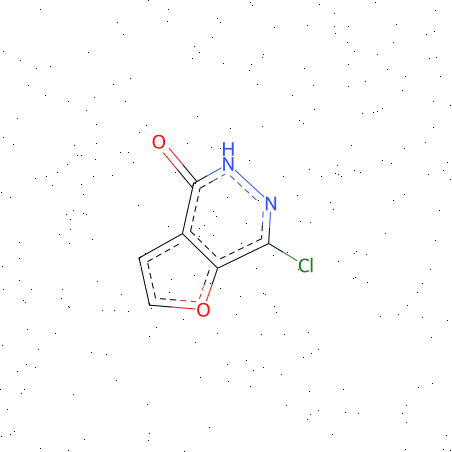 O=c1[nH]nc(Cl)c2occc12